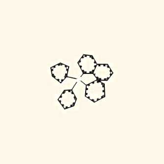 c1ccc(S(c2ccccc2)(c2ccccc2)c2cccc3ccccc23)cc1